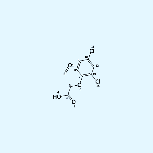 C=O.O=C(O)COc1ccc(Cl)cc1Cl